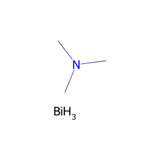 CN(C)C.[BiH3]